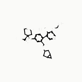 CCOc1cncc(-c2ccc(NC3(C(=O)O)CCOCC3)cc2COC2CC3CC3C2)c1C